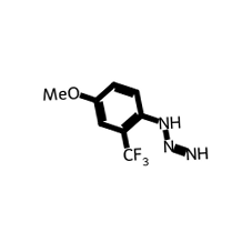 COc1ccc(NN=N)c(C(F)(F)F)c1